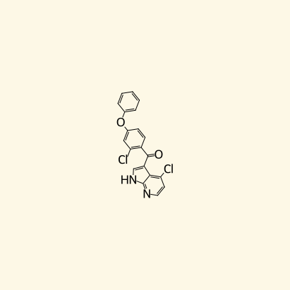 O=C(c1ccc(Oc2ccccc2)cc1Cl)c1c[nH]c2nccc(Cl)c12